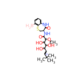 Bc1cccc2c1SCC(NC(=O)[C@H](OC)[C@H](O)[C@@H](O)[C@H](O)/C=C/C(C)(C)C)C(=O)N2